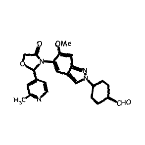 COc1cc2nn(C3CCC(C=O)CC3)cc2cc1N1C(=O)COC1c1ccnc(C)c1